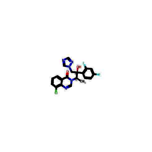 C[C@@H](n1cnc2c(Cl)cccc2c1=O)[C@](O)(Cn1cncn1)c1ccc(F)cc1F